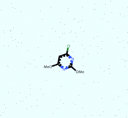 COc1cc(Cl)nc(OC)n1